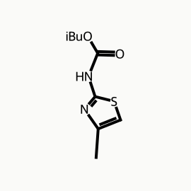 Cc1csc(NC(=O)OCC(C)C)n1